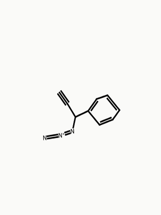 C#CC(N=[N+]=[N-])c1ccccc1